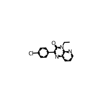 CCn1c(=O)c(-c2ccc(Cl)cc2)nc2cccnc21